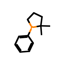 CC1(C)CCCP1c1ccccc1